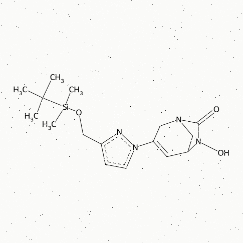 CC(C)(C)[Si](C)(C)OCc1ccn(C2=CC3CN(C2)C(=O)N3O)n1